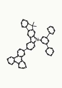 CC1(C)c2ccccc2-c2cc3c4cc(-c5ccc6c7ccccc7c7ccccc7c6c5)ccc4n(-c4cc(-c5ccccc5)cc(-c5ccccc5)c4)c3cc21